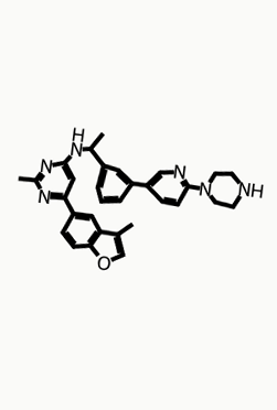 Cc1nc(NC(C)c2cccc(-c3ccc(N4CCNCC4)nc3)c2)cc(-c2ccc3occ(C)c3c2)n1